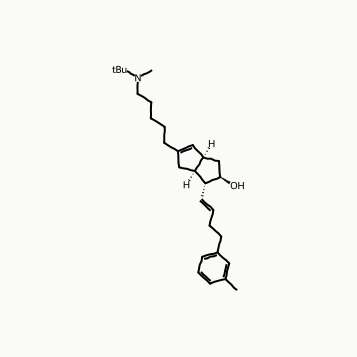 Cc1cccc(CC/C=C/[C@@H]2[C@H]3CC(CCCCCN(C)C(C)(C)C)=C[C@H]3C[C@H]2O)c1